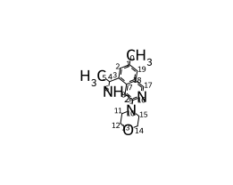 Cc1cc(C(C)N)c2cc(N3CCOCC3)ncc2c1